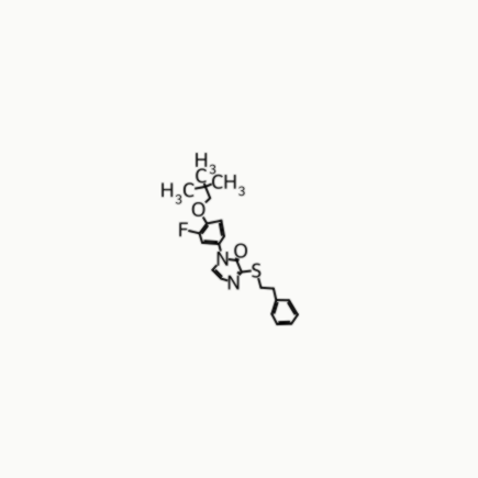 CC(C)(C)COc1ccc(-n2ccnc(SCCc3ccccc3)c2=O)cc1F